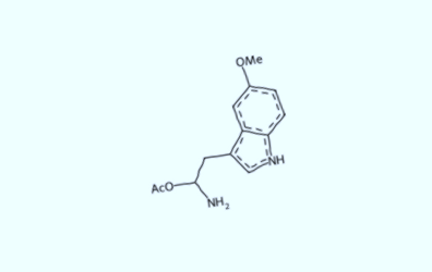 COc1ccc2[nH]cc(CC(N)OC(C)=O)c2c1